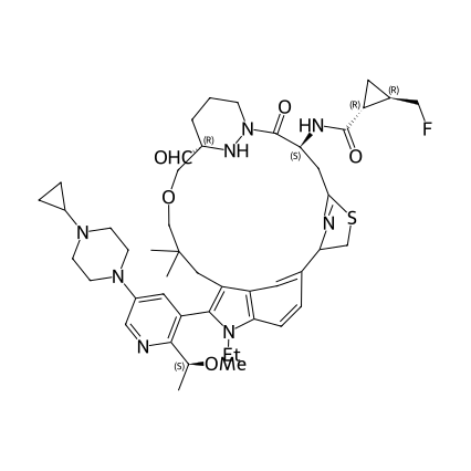 CCn1c(-c2cc(N3CCN(C4CC4)CC3)cnc2[C@H](C)OC)c2c3cc(ccc31)C1CSC(=N1)C[C@H](NC(=O)[C@@H]1C[C@H]1CF)C(=O)N1CCC[C@](C=O)(COCC(C)(C)C2)N1